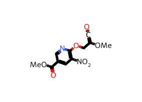 COC(=O)c1cnc(OCC(=C=O)OC)c([N+](=O)[O-])c1